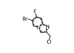 Fc1cc2nc(CCl)cn2cc1Br